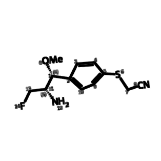 CO[C@H](c1ccc(SCC#N)cc1)[C@H](N)CF